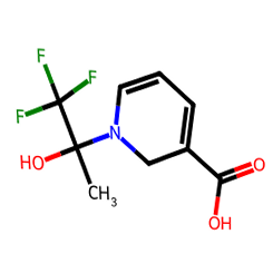 CC(O)(N1C=CC=C(C(=O)O)C1)C(F)(F)F